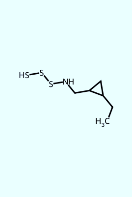 CCC1CC1CNSSS